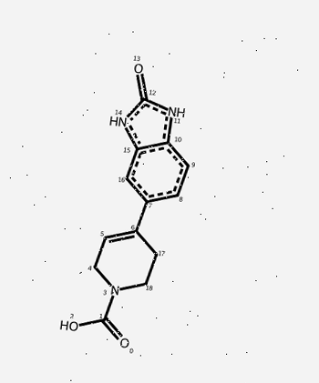 O=C(O)N1CC=C(c2ccc3[nH]c(=O)[nH]c3c2)CC1